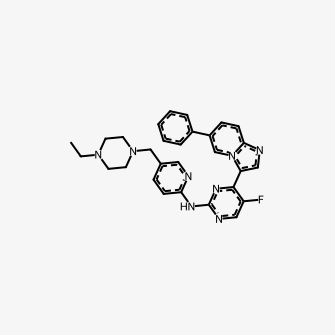 CCN1CCN(Cc2ccc(Nc3ncc(F)c(-c4cnc5ccc(-c6ccccc6)cn45)n3)nc2)CC1